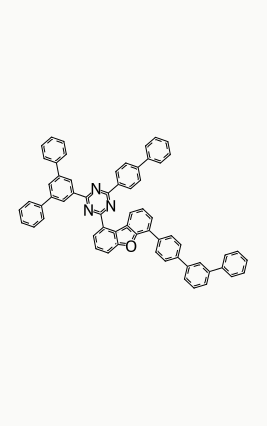 c1ccc(-c2ccc(-c3nc(-c4cc(-c5ccccc5)cc(-c5ccccc5)c4)nc(-c4cccc5oc6c(-c7ccc(-c8cccc(-c9ccccc9)c8)cc7)cccc6c45)n3)cc2)cc1